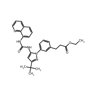 CCOC(=O)CCc1cccc(-n2nc(C(C)(C)C)cc2NC(=O)Nc2cccc3cccnc23)c1